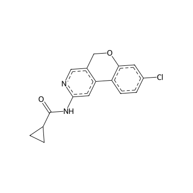 O=C(Nc1cc2c(cn1)COc1cc(Cl)ccc1-2)C1CC1